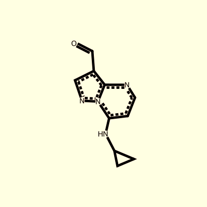 O=Cc1cnn2c(NC3CC3)ccnc12